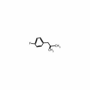 C=C(C)Cc1ccc(F)cc1